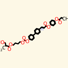 C=CC(=O)Oc1ccc(OC(=O)/C=C/c2ccc(-c3ccc(OC(=O)OCCCCOC(=O)C(=C)CO)cc3)cc2)cc1